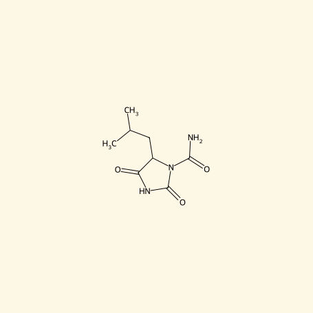 CC(C)CC1C(=O)NC(=O)N1C(N)=O